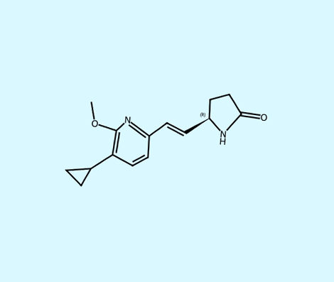 COc1nc(C=C[C@H]2CCC(=O)N2)ccc1C1CC1